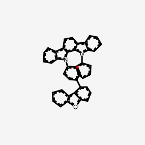 c1ccc(-n2c3ccccc3c3ccc4c5ccccc5n(-c5ccc(-c6cccc7oc8ccccc8c67)cc5)c4c32)cc1